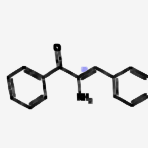 N/C(=C\c1ccccc1)C(=O)c1ccccc1